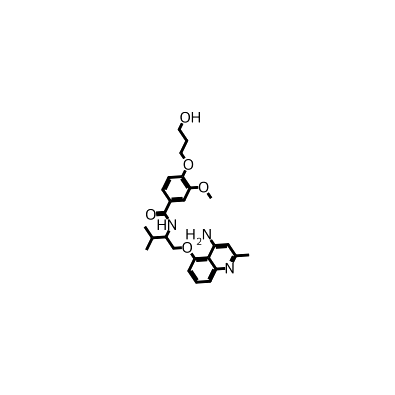 COc1cc(C(=O)NC(COc2cccc3nc(C)cc(N)c23)C(C)C)ccc1OCCCO